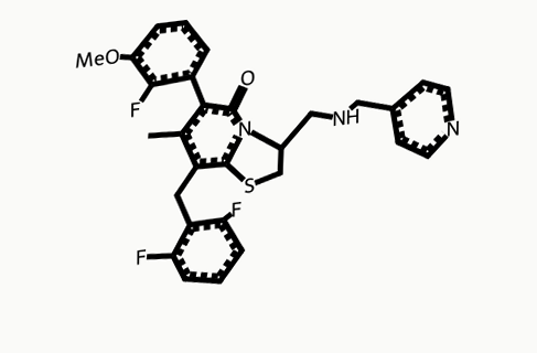 COc1cccc(-c2c(C)c(Cc3c(F)cccc3F)c3n(c2=O)C(CNCc2ccncc2)CS3)c1F